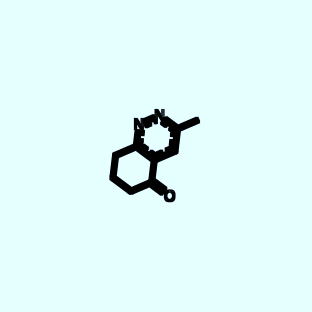 Cc1cc2c(nn1)CCCC2=O